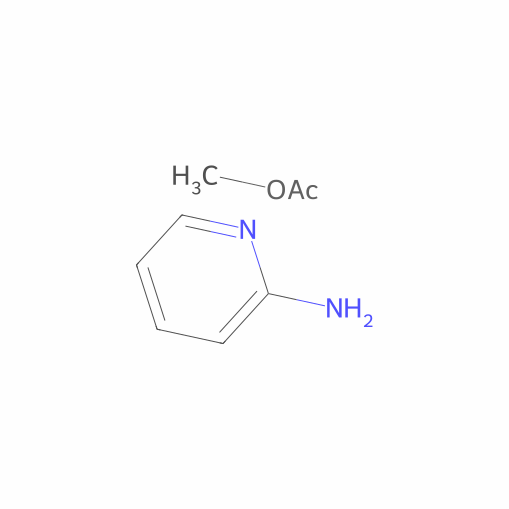 COC(C)=O.Nc1ccccn1